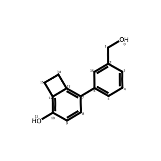 OCc1cccc(-c2ccc(O)c3c2CC3)c1